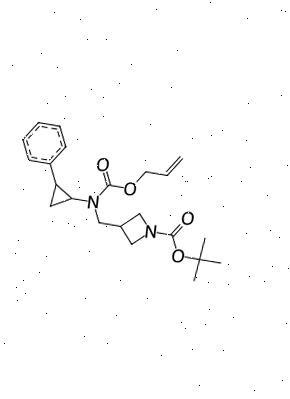 C=CCOC(=O)N(CC1CN(C(=O)OC(C)(C)C)C1)C1CC1c1ccccc1